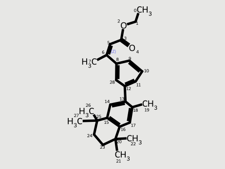 CCOC(=O)/C=C(/C)c1cccc(-c2cc3c(cc2C)C(C)(C)CCC3(C)C)c1